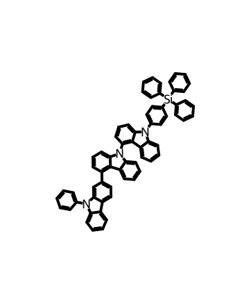 c1ccc(-n2c3ccccc3c3ccc(-c4cccc5c4c4ccccc4n5-c4cccc5c4c4ccccc4n5-c4ccc([Si](c5ccccc5)(c5ccccc5)c5ccccc5)cc4)cc32)cc1